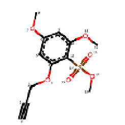 C#CCOc1cc(OC)cc(OC)c1S(=O)(=O)OC